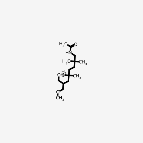 COCC(CO)CC(C)(C)CCC(C)(C)CNC(C)=O